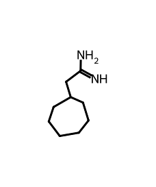 N=C(N)CC1CCCCCC1